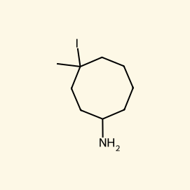 CC1(I)CCCCC(N)CC1